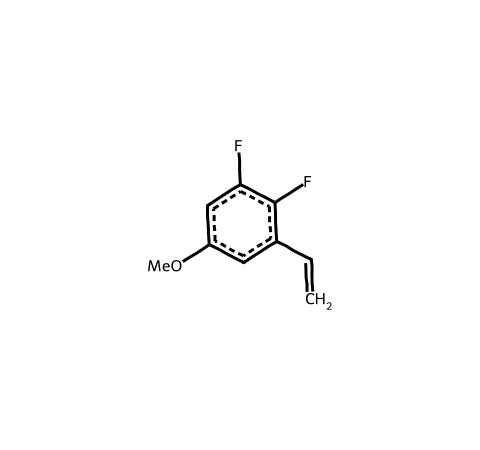 C=Cc1cc(OC)cc(F)c1F